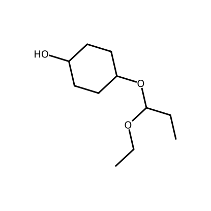 CCOC(CC)OC1CCC(O)CC1